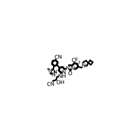 Cn1cnnc1-c1ccc(C#N)cc1-c1cc(NC[C@@H](O)CC#N)nc(-n2cc3c(C(F)(F)F)cc(CN4CCC5(CCC5)C4)cn3c2=O)c1